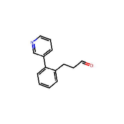 O=CCCc1ccccc1-c1cccnc1